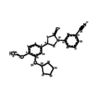 COc1ccc(C2CC(=O)N(c3cccc(C#N)c3)C2)cc1OC1CCCC1